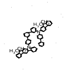 CC1(C)c2ccccc2-c2ccc(N(c3ccc(-c4ccccc4)cc3)c3cccc(-c4cccc(-c5ccc(-n6c7ccccc7c7cc8c(cc76)C(C)(C)c6ccccc6-8)cc5)c4)c3)cc21